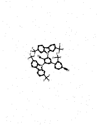 N#Cc1ccc(-c2cc(-n3c4cc(C(F)(F)F)ccc4c4ccc(C(F)(F)F)cc43)c(C#N)c(-n3c4cc(C(F)(F)F)ccc4c4ccc(C(F)(F)F)cc43)c2)c(C(F)(F)F)c1